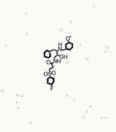 COc1cccc(CNC(Cc2ccccc2)C(O)CNC(=O)CCS(=O)(=O)c2ccc(F)cc2)c1